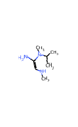 CN/C=C(/N)N(C)C(C)C